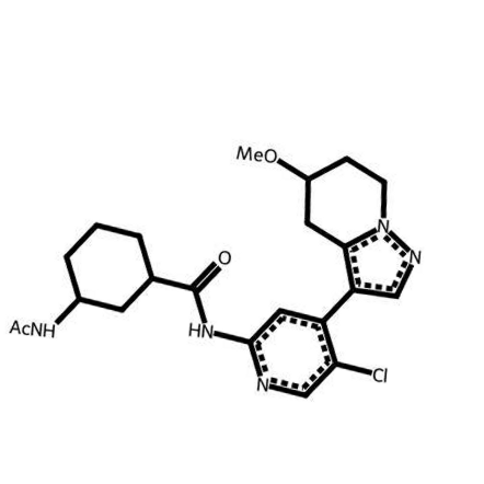 COC1CCn2ncc(-c3cc(NC(=O)C4CCCC(NC(C)=O)C4)ncc3Cl)c2C1